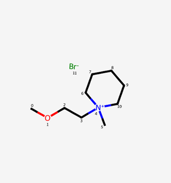 COCC[N+]1(C)CCCCC1.[Br-]